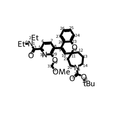 CCN(CC)C(=O)c1ccc(C2=CC3(CCCN(C(=O)OC(C)(C)C)CC3)Oc3ccccc32)c(OCOC)n1